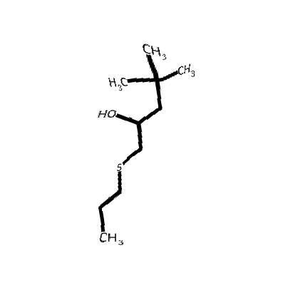 CCCSCC(O)CC(C)(C)C